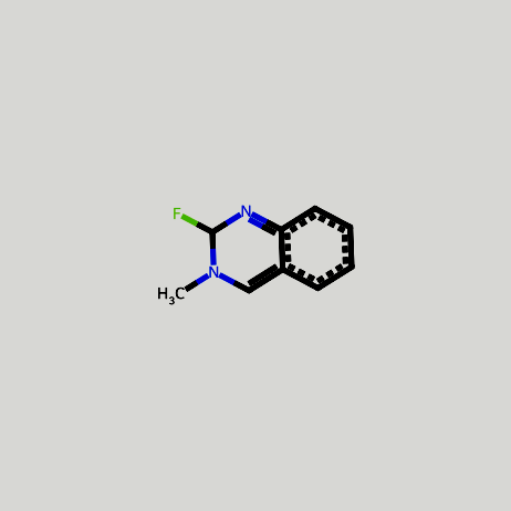 CN1C=c2ccccc2=NC1F